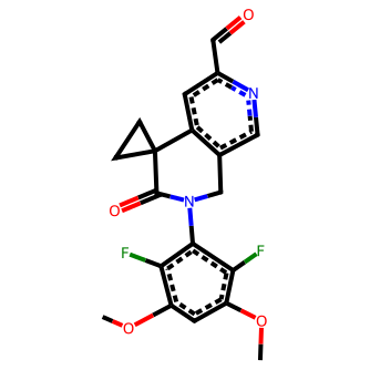 COc1cc(OC)c(F)c(N2Cc3cnc(C=O)cc3C3(CC3)C2=O)c1F